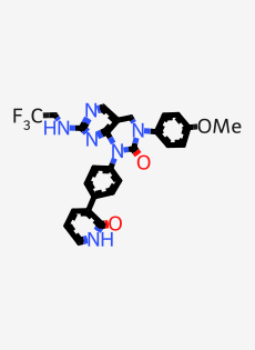 COc1ccc(N2Cc3cnc(NCC(F)(F)F)nc3N(c3ccc(-c4ccc[nH]c4=O)cc3)C2=O)cc1